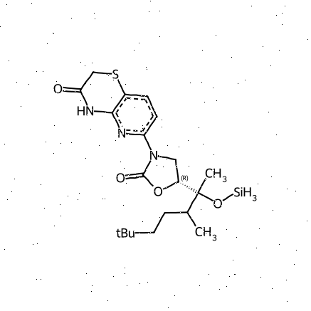 CC(CCC(C)(C)C)C(C)(O[SiH3])[C@H]1CN(c2ccc3c(n2)NC(=O)CS3)C(=O)O1